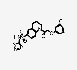 O=C(COc1cccc(Cl)c1)N1CCCc2cc(S(=O)(=O)Nc3ncns3)ccc21